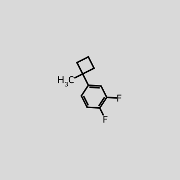 CC1(c2ccc(F)c(F)c2)CCC1